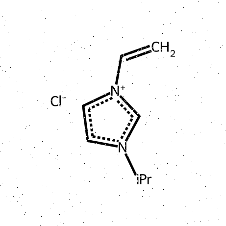 C=C[n+]1ccn(C(C)C)c1.[Cl-]